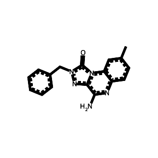 Cc1ccc2nc(N)c3nn(Cc4ccccc4)c(=O)n3c2c1